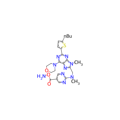 CCCCc1ccc(-c2nc(N3CCOCC3)c3nc(CN(C)c4ncc(C(=O)ON)cn4)n(C)c3n2)s1